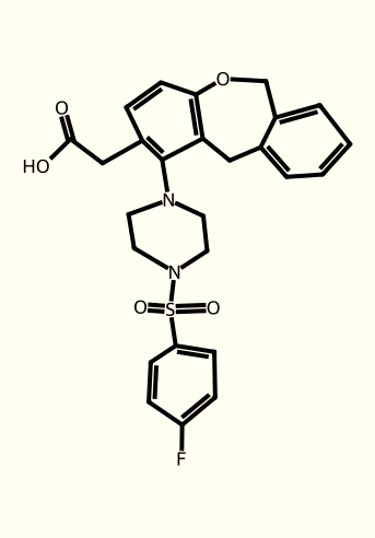 O=C(O)Cc1ccc2c(c1N1CCN(S(=O)(=O)c3ccc(F)cc3)CC1)Cc1ccccc1CO2